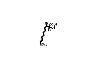 CCCCCCCCC=CCCCCCC(CC)C(S)(CC)C(=O)O